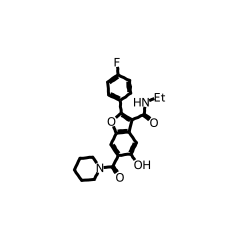 CCNC(=O)c1c(-c2ccc(F)cc2)oc2cc(C(=O)N3CCCCC3)c(O)cc12